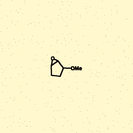 COC1CCC2OC12